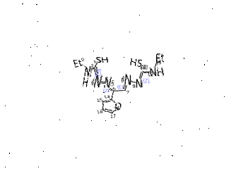 CCN/C(S)=N/N=C(/C=N/N=C(\S)NCC)c1ccco1